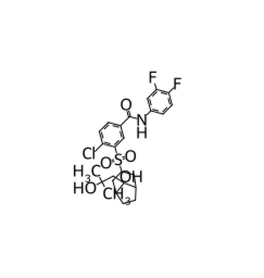 CC(C)(O)CC1(O)C2CCC1CC(S(=O)(=O)c1cc(C(=O)Nc3ccc(F)c(F)c3)ccc1Cl)C2